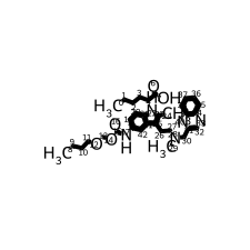 CCCCCC(=O)O.CCCCOCOC(=O)Nc1ccc2[nH]c(C)c(CCN(C)Cc3cnc4ccccc4n3)c2c1